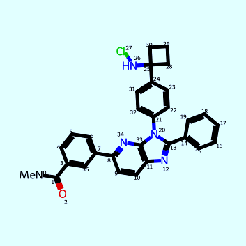 CNC(=O)c1cccc(-c2ccc3nc(-c4ccccc4)n(-c4ccc(C5(NCl)CCC5)cc4)c3n2)c1